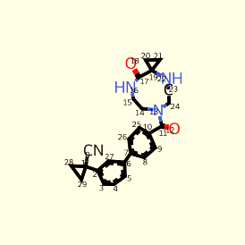 N#CC1(c2cccc(-c3ccc(C(=O)N4CCNC(=O)C5(CC5)NCC4)cc3)c2)CC1